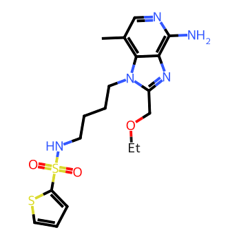 CCOCc1nc2c(N)ncc(C)c2n1CCCCNS(=O)(=O)c1cccs1